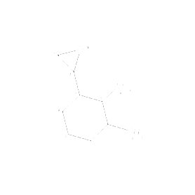 CC1[CH]CCC(C2CO2)C1C